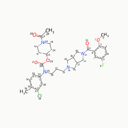 COc1ccc(F)cc1C(=O)N1CC2CN(CCCN(C(=O)OC3CCN(C(C)=O)CC3)c3ccc(C)c(Cl)c3)CC2C1